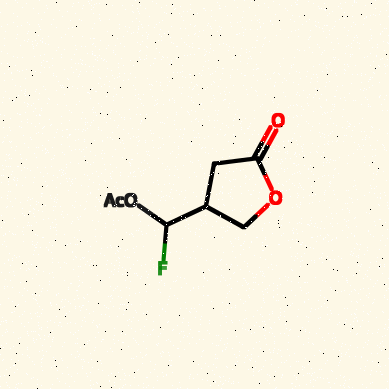 CC(=O)OC(F)C1COC(=O)C1